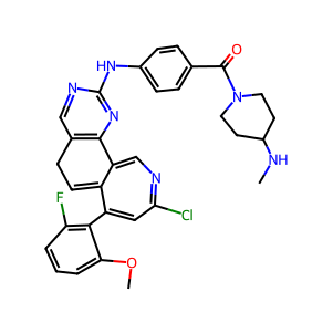 CNC1CCN(C(=O)c2ccc(Nc3ncc4c(n3)C3=CN=C(Cl)C=C(c5c(F)cccc5OC)C3=CC4)cc2)CC1